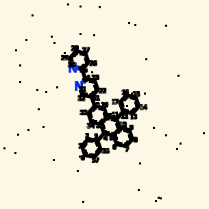 c1ccc(-c2c3ccccc3c(-c3ccccc3)c3cc(-c4ccc(-c5ccccn5)nc4)ccc23)cc1